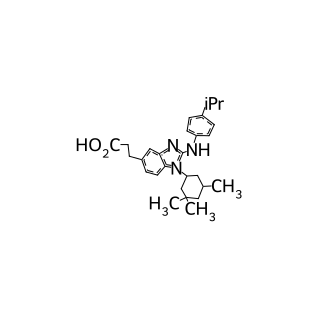 CC1CC(n2c(Nc3ccc(C(C)C)cc3)nc3cc(CCC(=O)O)ccc32)CC(C)(C)C1